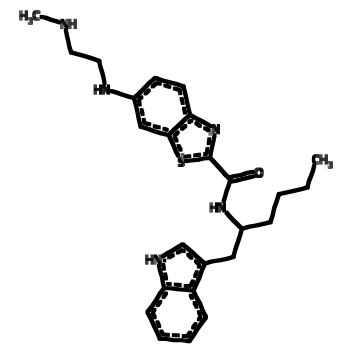 CCCCC(Cc1c[nH]c2ccccc12)NC(=O)c1nc2ccc(NCCNC)cc2s1